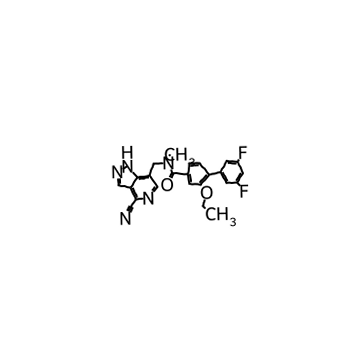 CCOc1cc(C(=O)N(C)Cc2cnc(C#N)c3cn[nH]c23)ccc1-c1cc(F)cc(F)c1